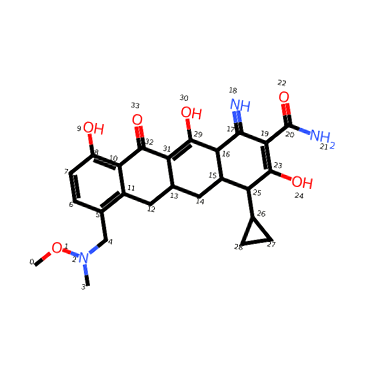 CON(C)Cc1ccc(O)c2c1CC1CC3C(C(=N)C(C(N)=O)=C(O)C3C3CC3)C(O)=C1C2=O